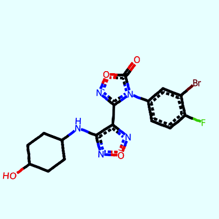 O=c1onc(-c2nonc2NC2CCC(O)CC2)n1-c1ccc(F)c(Br)c1